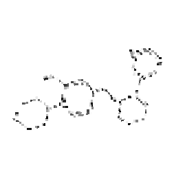 O=[N+]([O-])c1cc(C=C2CCCN=C2c2cccnc2)ccc1N1CCCCC1